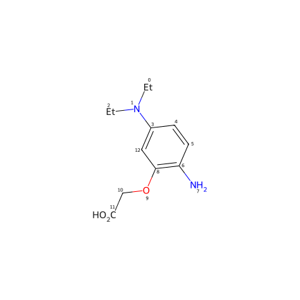 CCN(CC)c1ccc(N)c(OCC(=O)O)c1